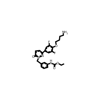 CCOC(=O)Nc1cccc(Cn2nc(-c3cc(F)c(OCCCCN)c(F)c3)ccc2=O)c1